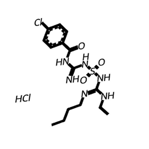 CCCCN=C(NCC)NS(=O)(=O)NC(=N)NC(=O)c1ccc(Cl)cc1.Cl